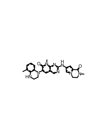 Cc1cccc2c1NCCN2c1cc2cnc(Nc3cc4n(c3)CCN(C)C4=O)nc2n(C)c1=O